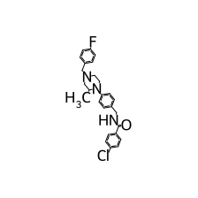 CC1CN(Cc2ccc(F)cc2)CCN1c1ccc(CNC(=O)c2ccc(Cl)cc2)cc1